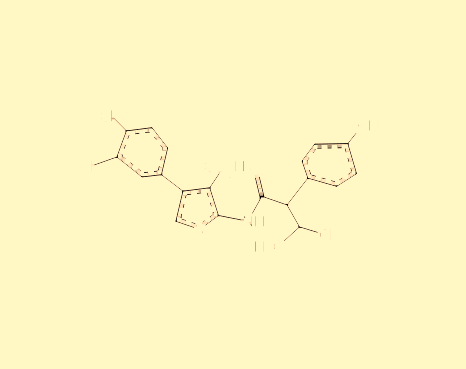 Cc1ccc(C(C(=O)Nc2scc(-c3ccc(Cl)c(Cl)c3)c2C(=O)O)C(C)Cl)cc1